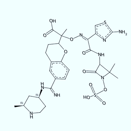 C[C@H]1C[C@@H](NC(=N)c2ccc3c(c2)CCC(C(C)(ON=C(C(=O)NC2C(=O)N(OS(=O)(=O)O)C2(C)C)c2csc(N)n2)C(=O)O)O3)CCN1